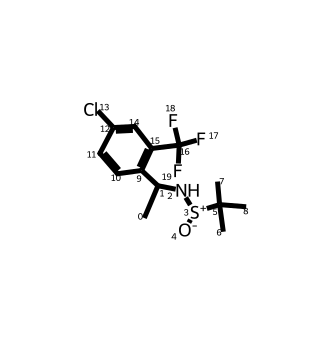 CC(N[S+]([O-])C(C)(C)C)c1ccc(Cl)cc1C(F)(F)F